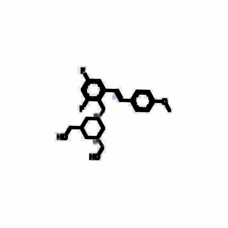 COc1ccc(/C=C/c2cc(F)cc(F)c2C[C@H]2CC(CO)C[C@@H](CO)C2)cc1